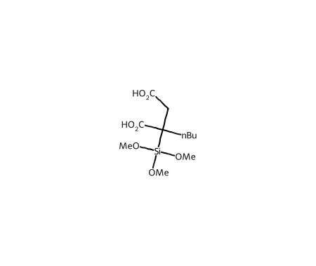 CCCCC(CC(=O)O)(C(=O)O)[Si](OC)(OC)OC